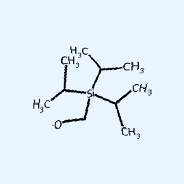 CC(C)[Si](C[O])(C(C)C)C(C)C